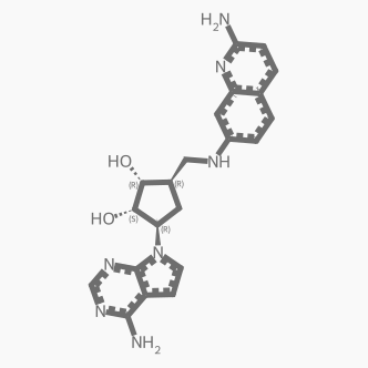 Nc1ccc2ccc(NC[C@H]3C[C@@H](n4ccc5c(N)ncnc54)[C@H](O)[C@@H]3O)cc2n1